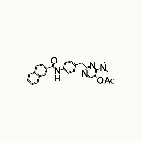 CC(=O)Oc1cnc(Cc2ccc(NC(=O)c3ccc4ccccc4c3)cc2)nc1N(C)C